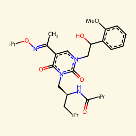 COc1ccccc1C(O)Cn1cc(/C(C)=N/OC(C)C)c(=O)n(C[C@H](CC(C)C)NC(=O)C(C)C)c1=O